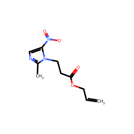 C=CCOC(=O)CCn1c([N+](=O)[O-])cnc1C